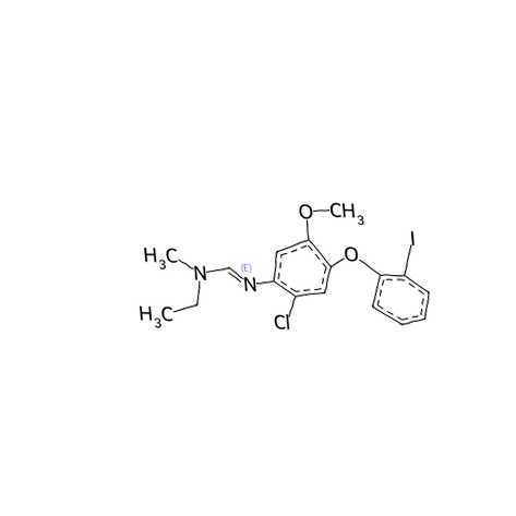 CCN(C)/C=N/c1cc(OC)c(Oc2ccccc2I)cc1Cl